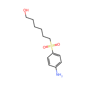 Nc1ccc(S(=O)(=O)CCCCCCO)cc1